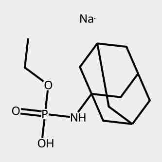 CCOP(=O)(O)NC12CC3CC(CC(C3)C1)C2.[Na]